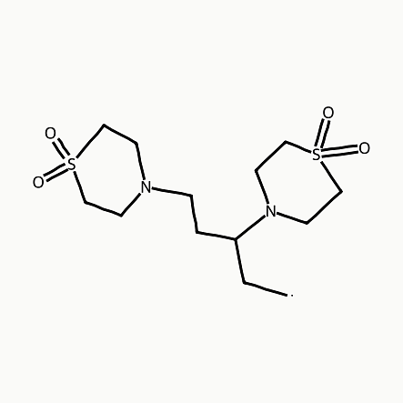 [CH2]CC(CCN1CCS(=O)(=O)CC1)N1CCS(=O)(=O)CC1